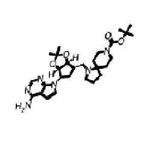 CC(C)(C)OC(=O)N1CCC2(CCCN2C[C@H]2C[C@@H](n3ccc4c(N)ncnc43)[C@@H]3OC(C)(C)O[C@H]23)CC1